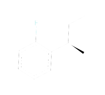 [CH2][C@H](CC)c1ccccc1F